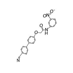 N#Cc1ccc(-c2ccc(OCC(=O)Nc3cccc([N+](=O)[O-])c3)cc2)cc1